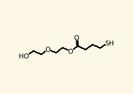 O=C(CCCS)OCCOCCO